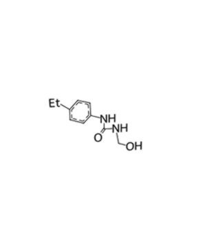 CCc1ccc(NC(=O)NCO)cc1